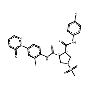 CS(=O)(=O)N1C[C@H](C(=O)Nc2ccc(Cl)cc2)[C@@H](C(=O)Nc2ccc(-n3ncccc3=O)cc2F)C1